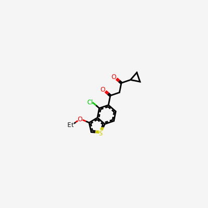 CCOc1csc2ccc(C(=O)CC(=O)C3CC3)c(Cl)c12